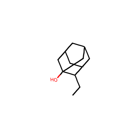 CCC1[C]2CC3CC(C2)CC1(O)C3